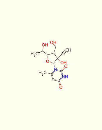 C#CC1(O)C(CO)[C@@H]([C@@H](C)O)O[C@H]1n1c(C)cc(=O)[nH]c1=O